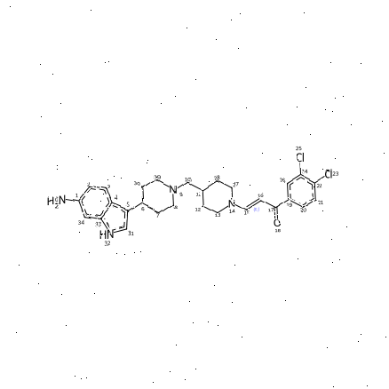 Nc1ccc2c(C3CCN(CC4CCN(/C=C/C(=O)c5ccc(Cl)c(Cl)c5)CC4)CC3)c[nH]c2c1